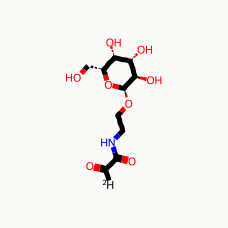 [2H]C(=O)C(=O)NCCO[C@@H]1O[C@H](CO)[C@H](O)[C@H](O)[C@H]1O